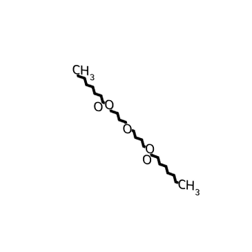 CCCCCCCC(=O)OCCCCOCCCCOC(=O)CCCCCCC